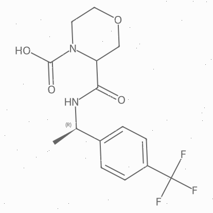 C[C@@H](NC(=O)C1COCCN1C(=O)O)c1ccc(C(F)(F)F)cc1